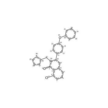 O=c1c2c(Cl)cccc2cc(-c2ccc(Oc3ccccc3)cc2)n1Cc1cccs1